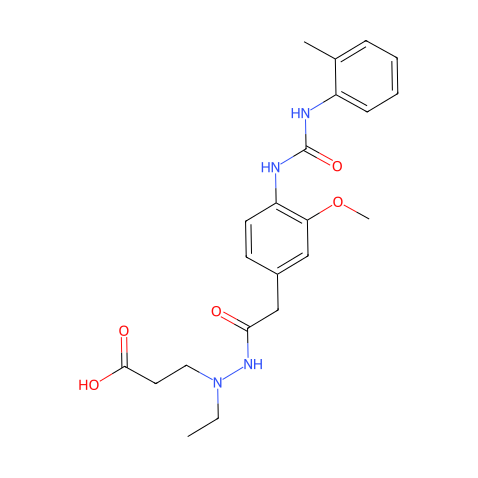 CCN(CCC(=O)O)NC(=O)Cc1ccc(NC(=O)Nc2ccccc2C)c(OC)c1